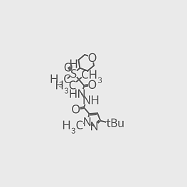 Cn1nc(C(C)(C)C)cc1C(=O)NNC(=O)C(C)(C)[SH](C)(=O)C1CCOCC1